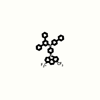 FC(F)(F)c1ccc2c3c1ccc1c(C(F)(F)F)ccc(c13)n2-c1ccc(N(c2ccc(-c3ccccc3)cc2)c2cc(-c3ccccc3)cc(-c3ccccc3)c2)cc1